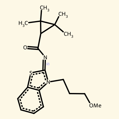 COCCCn1/c(=N/C(=O)C2C(C)(C)C2(C)C)sc2ccccc21